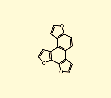 c1cc2c(ccc3c4ccoc4c4occc4c23)o1